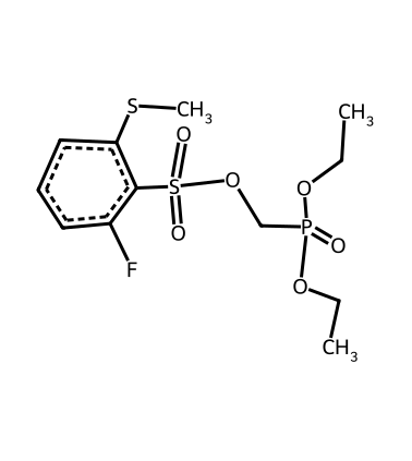 CCOP(=O)(COS(=O)(=O)c1c(F)cccc1SC)OCC